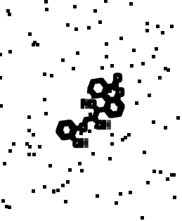 O=c1oc2cccc(C(O)C(O)COc3ccccc3O)c2c2c1CCCC2